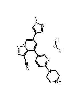 ClOCl.Cn1cc(-c2cc(-c3ccc(N4CCNCC4)nc3)c3c(C#N)cnn3c2)cn1